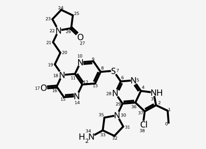 CCc1[nH]c2nc(Sc3cnc4c(c3)ncc(=O)n4CCCN3CCCC3=O)nc(N3CCC(N)C3)c2c1Cl